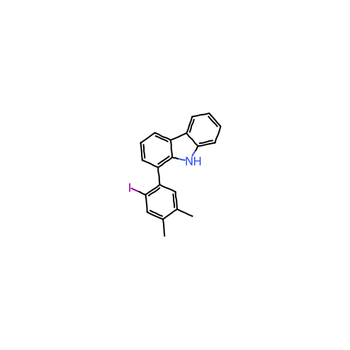 Cc1cc(I)c(-c2cccc3c2[nH]c2ccccc23)cc1C